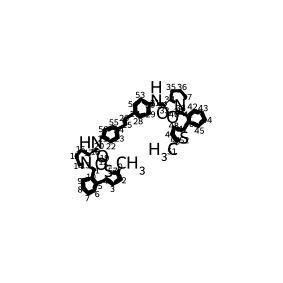 Cc1ccc(-c2ccccc2C(=O)N2CCC[C@H]2C(=O)Nc2ccc(/C=C/c3ccc(NC(=O)[C@@H]4CCCN4C(=O)c4ccccc4-c4ccc(C)s4)cc3)cc2)s1